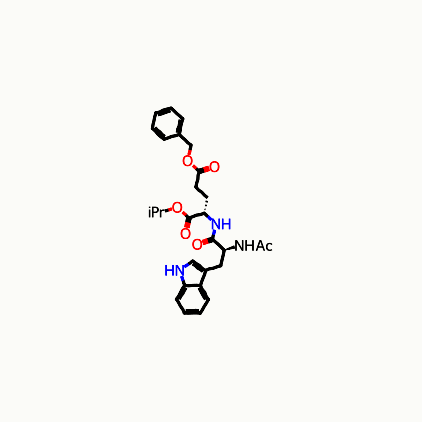 CC(=O)N[C@@H](Cc1c[nH]c2ccccc12)C(=O)N[C@@H](CCC(=O)OCc1ccccc1)C(=O)OC(C)C